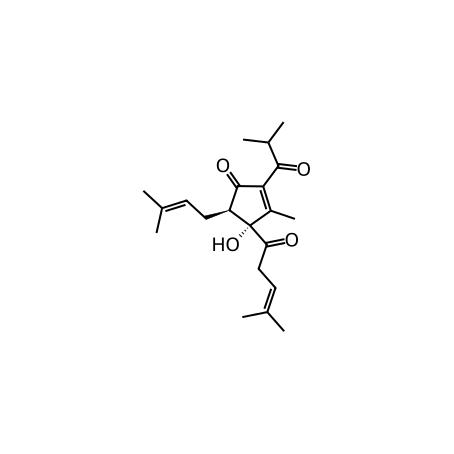 CC(C)=CCC(=O)[C@]1(O)C(C)=C(C(=O)C(C)C)C(=O)[C@@H]1CC=C(C)C